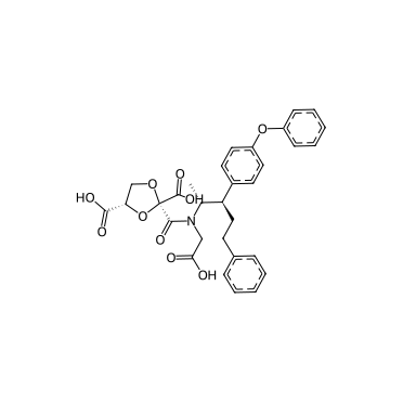 C[C@H]([C@H](CCc1ccccc1)c1ccc(Oc2ccccc2)cc1)N(CC(=O)O)C(=O)[C@@]1(C(=O)O)OC[C@@H](C(=O)O)O1